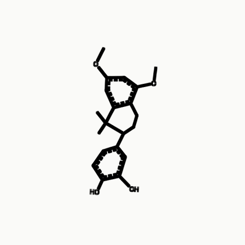 COc1cc(OC)c2c(c1)C(C)(C)C(c1ccc(O)c(O)c1)CC2